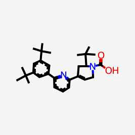 CC(C)(C)c1cc(-c2cccc(C3=CCN(C(=O)O)C(C(C)(C)C)C3)n2)cc(C(C)(C)C)c1